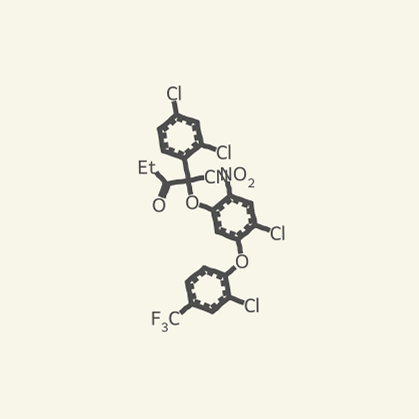 CCC(=O)C(C#N)(Oc1cc(Oc2ccc(C(F)(F)F)cc2Cl)c(Cl)cc1[N+](=O)[O-])c1ccc(Cl)cc1Cl